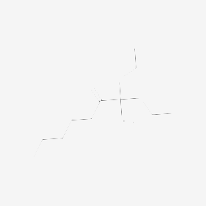 CCCCCC(=O)C([SiH3])(OCC)OCC